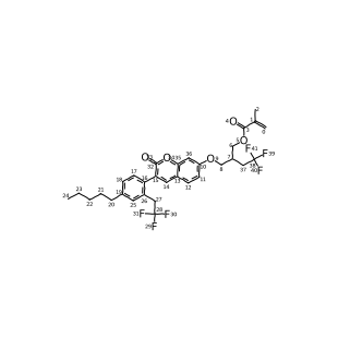 C=C(C)C(=O)OCC(COc1ccc2cc(-c3ccc(CCCCC)cc3CC(F)(F)F)c(=O)oc2c1)CC(F)(F)F